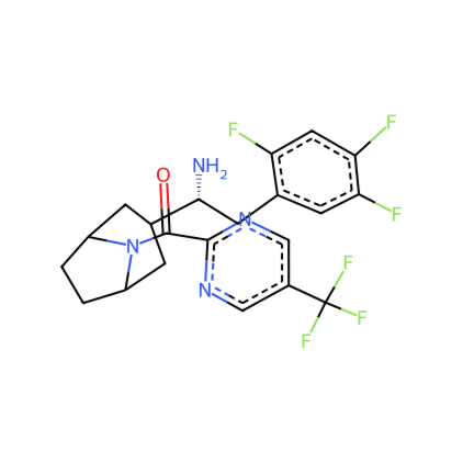 N[C@H](Cc1cc(F)c(F)cc1F)C1CC2CCC(C1)N2C(=O)c1ncc(C(F)(F)F)cn1